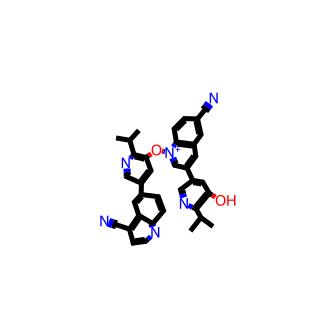 CC(C)c1ncc(-c2cc3cc(C#N)ccc3[n+](Oc3cc(-c4ccc5nccc(C#N)c5c4)cnc3C(C)C)c2)cc1O